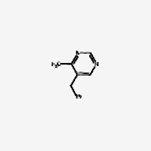 Cc1ncncc1CC(C)C